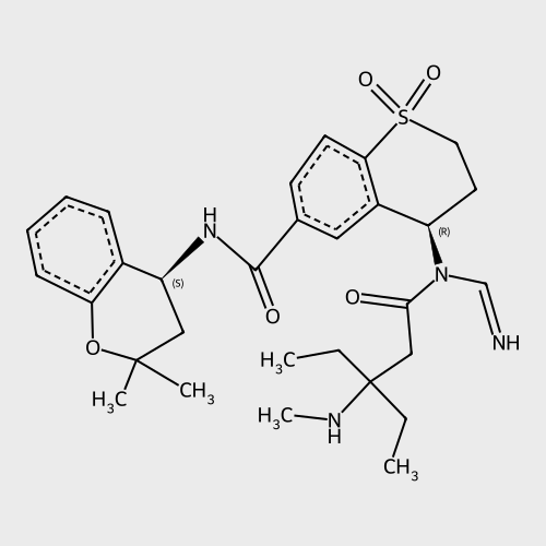 CCC(CC)(CC(=O)N(C=N)[C@@H]1CCS(=O)(=O)c2ccc(C(=O)N[C@H]3CC(C)(C)Oc4ccccc43)cc21)NC